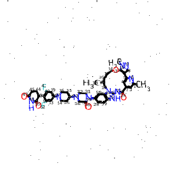 Cc1cc2cc(n1)-c1cnn(C)c1OCCC[C@@H](C)CN1/C(=N/C2=O)Nc2ccc(N3CCN(C4CCN(c5cc(F)c([C@H]6CCC(=O)NC6=O)c(F)c5)CC4)CC3=O)cc21